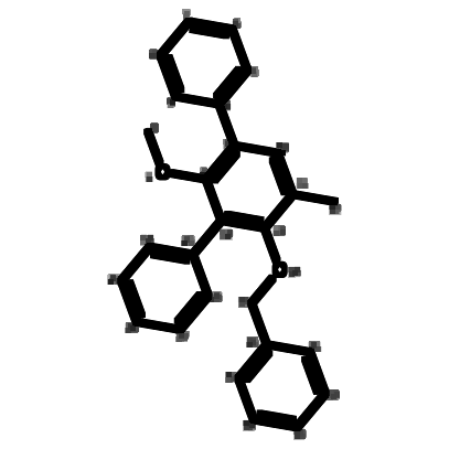 COc1c(-c2ccccc2)[c]c(C)c(OCc2ccccc2)c1-c1ccccc1